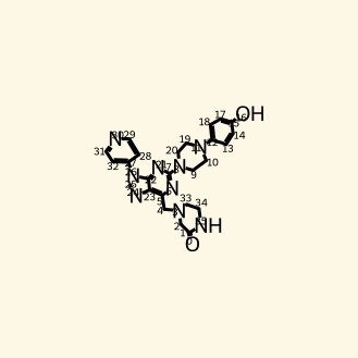 O=C1CN(Cc2nc(N3CCN(c4ccc(O)cc4)CC3)nc3c2ncn3-c2ccncc2)CCN1